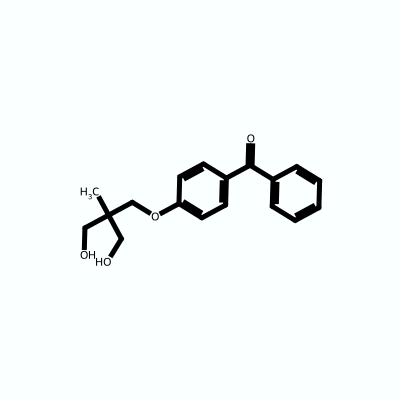 CC(CO)(CO)COc1ccc(C(=O)c2ccccc2)cc1